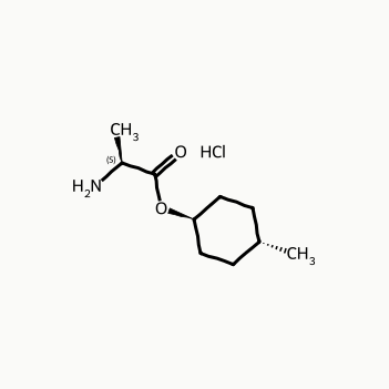 C[C@H](N)C(=O)O[C@H]1CC[C@H](C)CC1.Cl